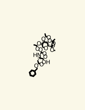 COC(=O)[C@H]1OC(OC(=O)N[C@@H](CC(=O)OCc2ccccc2)C(=O)O)[C@H](OC(C)=O)[C@@H](OC(C)=O)[C@@H]1OC(C)=O